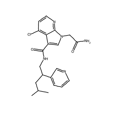 CC(C)CC(CNC(=O)c1cn(CC(N)=O)c2nccc(Cl)c12)c1cccnc1